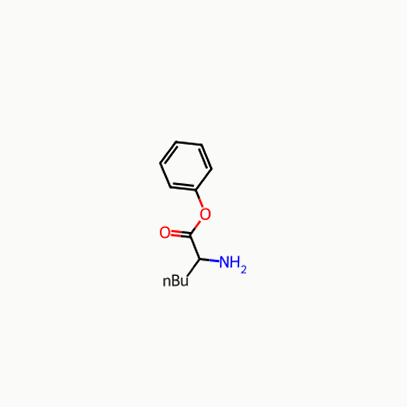 CCCCC(N)C(=O)Oc1ccccc1